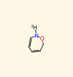 [2H]N1C=CC=CCO1